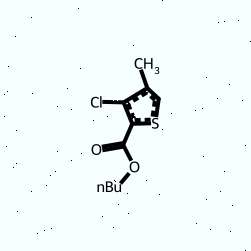 CCCCOC(=O)c1scc(C)c1Cl